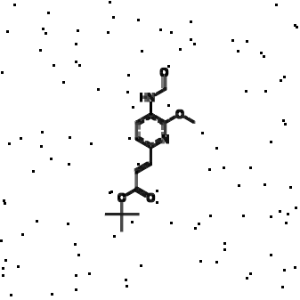 COc1nc(C=CC(=O)OC(C)(C)C)ccc1NC=O